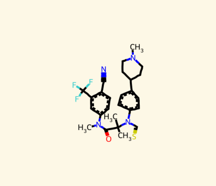 CN1CCC(c2ccc(N(C=S)C(C)(C)C(=O)N(C)c3ccc(C#N)c(C(F)(F)F)c3)cc2)CC1